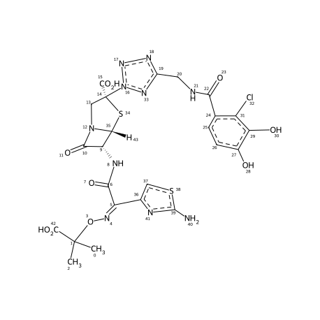 CC(C)(O/N=C(\C(=O)N[C@@H]1C(=O)N2C[C@@](C(=O)O)(n3nnc(CNC(=O)c4ccc(O)c(O)c4Cl)n3)S[C@H]12)c1csc(N)n1)C(=O)O